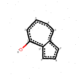 [O]c1ccccc2cccc1-2